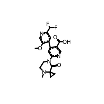 COc1cnc(C(F)F)cc1-c1cc(N2CCN(C)C3(CC3)C2=O)ncc1C(=O)O